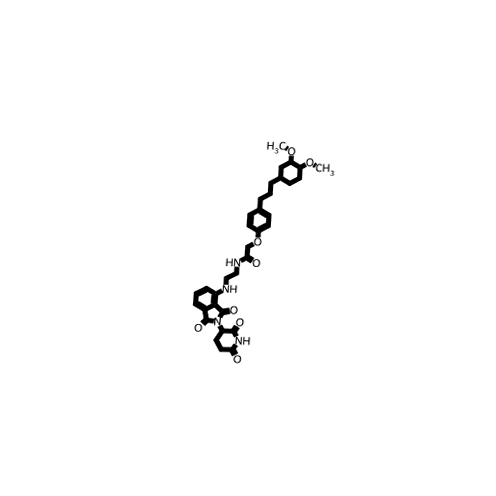 COC1CCC(CCCc2ccc(OCC(=O)NCCNc3cccc4c3C(=O)N(C3CCC(=O)NC3=O)C4=O)cc2)CC1OC